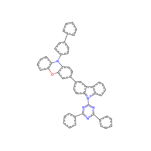 c1ccc(-c2ccc(N3c4ccccc4Oc4cc(-c5ccc6c(c5)c5ccccc5n6-c5nc(-c6ccccc6)nc(-c6ccccc6)n5)ccc43)cc2)cc1